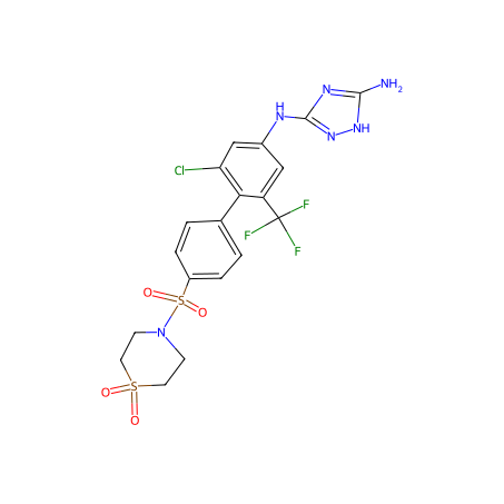 Nc1nc(Nc2cc(Cl)c(-c3ccc(S(=O)(=O)N4CCS(=O)(=O)CC4)cc3)c(C(F)(F)F)c2)n[nH]1